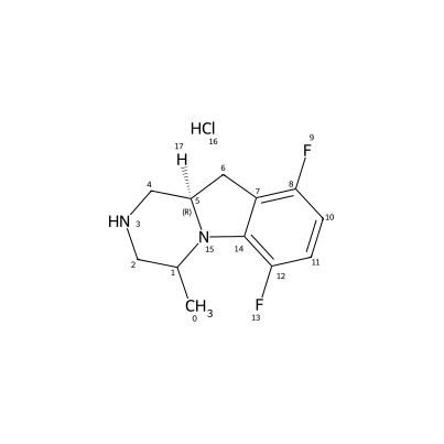 CC1CNC[C@H]2Cc3c(F)ccc(F)c3N12.Cl